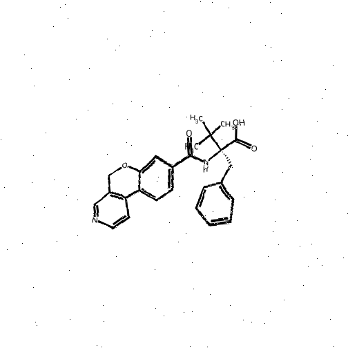 CC(C)(C)[C@](Cc1ccccc1)(NC(=O)c1ccc2c(c1)OCc1cnccc1-2)C(=O)O